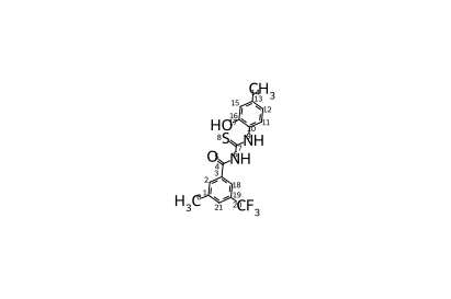 Cc1cc(C(=O)NC(=S)Nc2ccc(C)cc2O)cc(C(F)(F)F)c1